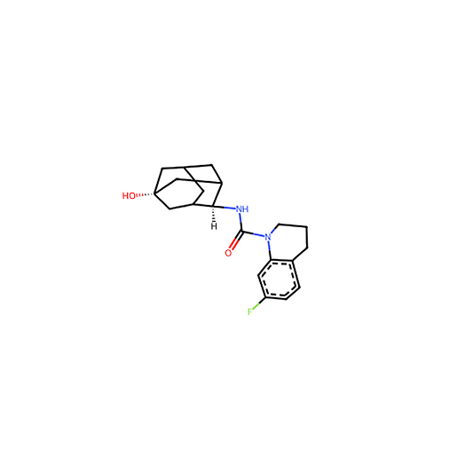 O=C(N[C@H]1C2CC3CC1C[C@](O)(C3)C2)N1CCCc2ccc(F)cc21